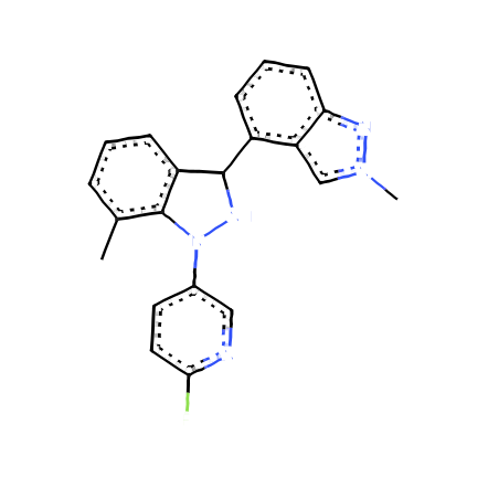 Cc1cccc2c1N(c1ccc(F)nc1)NC2c1cccc2nn(C)cc12